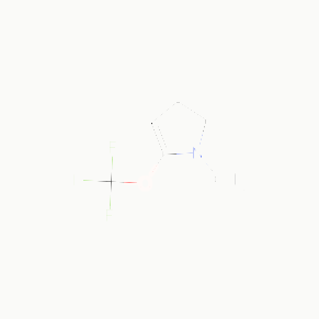 CN1C[C]C=C1OC(F)(F)F